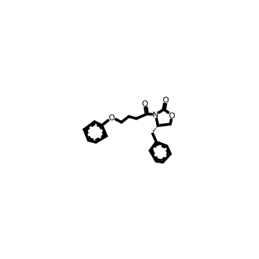 O=C(CCCOc1ccccc1)N1C(=O)OC[C@@H]1Cc1ccccc1